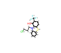 Oc1c(C(F)(F)F)ccc2c1N(CCCCl)c1ccccc1S2